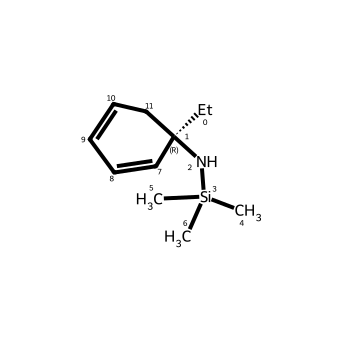 CC[C@]1(N[Si](C)(C)C)C=CC=CC1